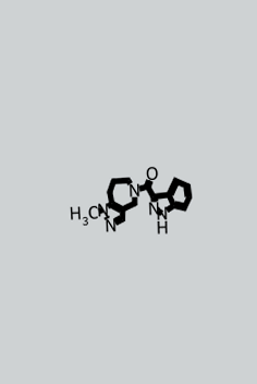 Cn1ncc2c1CCCN(C(=O)c1n[nH]c3ccccc13)C2